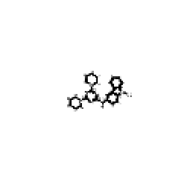 CCn1c2ccccc2c2cc(Nc3nc(N4CCCCC4)nc(N4CCCCC4)n3)ccc21